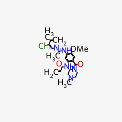 C=CC(=O)Nc1cc(N/C(C)=N/C=C(/Cl)C(=C)C)c(OC)cc1C(=O)N1CCN(C)CC1